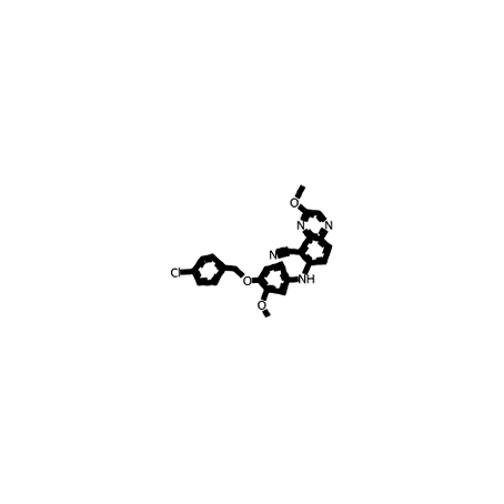 COc1cnc2ccc(Nc3ccc(OCc4ccc(Cl)cc4)c(OC)c3)c(C#N)c2n1